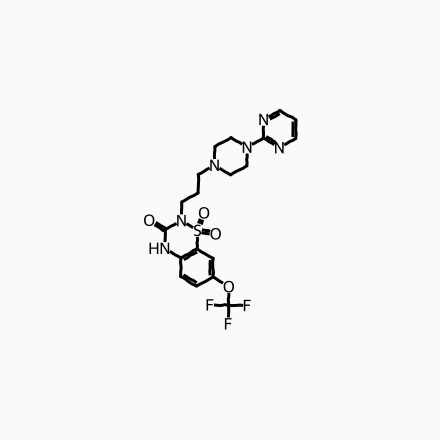 O=C1Nc2ccc(OC(F)(F)F)cc2S(=O)(=O)N1CCCN1CCN(c2ncccn2)CC1